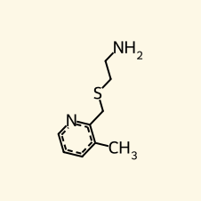 Cc1cccnc1CSCCN